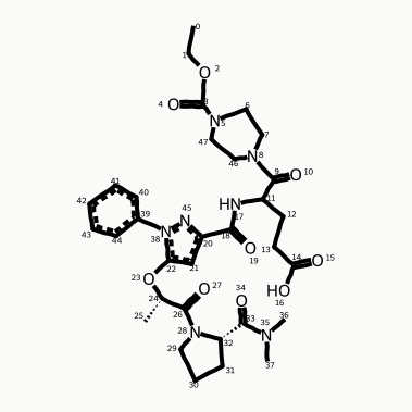 CCOC(=O)N1CCN(C(=O)C(CCC(=O)O)NC(=O)c2cc(O[C@@H](C)C(=O)N3CCC[C@H]3C(=O)N(C)C)n(-c3ccccc3)n2)CC1